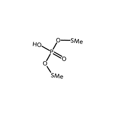 CSOP(=O)(O)OSC